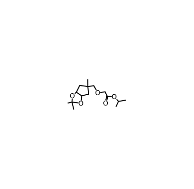 CC(C)OC(=O)COCC1(C)CC2OC(C)(C)OC2C1